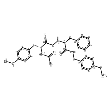 CCOc1ccc(C[C@@H](NC(=O)CC)C(=O)CN[C@@H](Cc2ccccc2)C(=O)NCc2ccc(CN)cc2)cc1